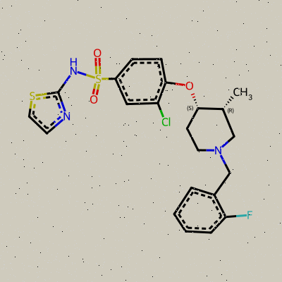 C[C@@H]1CN(Cc2ccccc2F)CC[C@@H]1Oc1ccc(S(=O)(=O)Nc2nccs2)cc1Cl